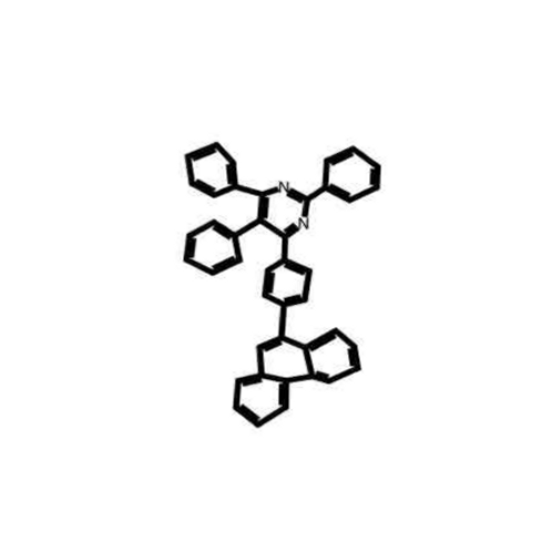 c1ccc(-c2nc(-c3ccccc3)c(-c3ccccc3)c(-c3ccc(-c4cc5ccccc5c5ccccc45)cc3)n2)cc1